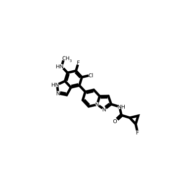 CNc1c(F)c(Cl)c(-c2ccn3nc(NC(=O)C4CC4F)cc3c2)c2cn[nH]c12